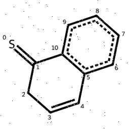 S=C1CC=Cc2[c]cccc21